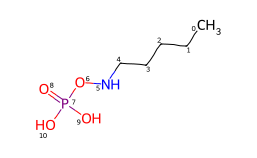 CCCCCNOP(=O)(O)O